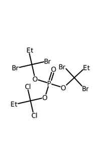 CCC(Cl)(Cl)OP(=O)(OC(Br)(Br)CC)OC(Br)(Br)CC